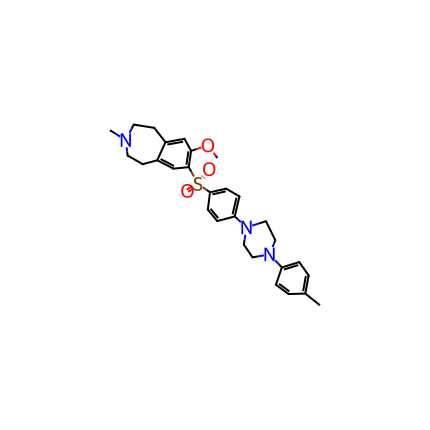 COc1cc2c(cc1S(=O)(=O)c1ccc(N3CCN(c4ccc(C)cc4)CC3)cc1)CCN(C)CC2